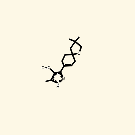 Cc1[nH]nc(C2=CCC3(CC2)CC(C)(C)CO3)c1C=O